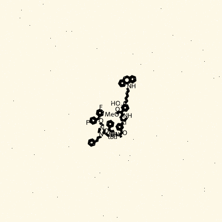 CC(NC(C)(C)C)C(=O)c1cccc(Cl)c1.CC1NCCOC1c1ccccc1.COC(=O)C(c1ccccc1)C1CCCCN1.Fc1ccc(C(OCCN2CCN(CCCc3ccccc3)CC2)c2ccc(F)cc2)cc1.O=C(O)CCCCCCNC1c2ccccc2CCc2ccccc21